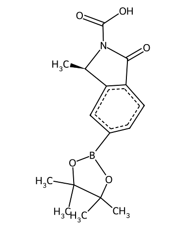 C[C@@H]1c2cc(B3OC(C)(C)C(C)(C)O3)ccc2C(=O)N1C(=O)O